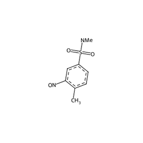 CNS(=O)(=O)c1ccc(C)c(N=O)c1